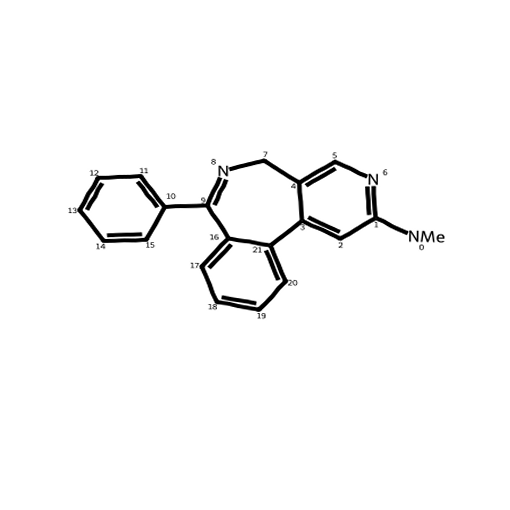 CNc1cc2c(cn1)CN=C(c1ccccc1)c1ccccc1-2